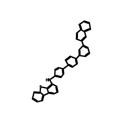 c1cc(-c2ccc(-c3ccc(Nc4cccc5c4sc4ccccc45)cc3)cc2)cc(-c2ccc3ccccc3c2)c1